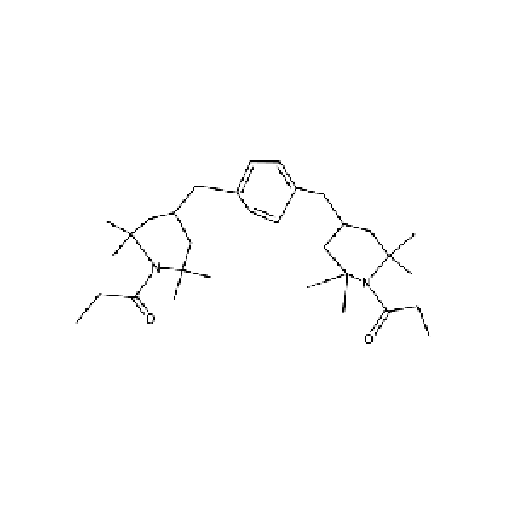 CCC(=O)N1C(C)(C)CC(Cc2ccc(CC3CC(C)(C)N(C(=O)CC)C(C)(C)C3)cc2)CC1(C)C